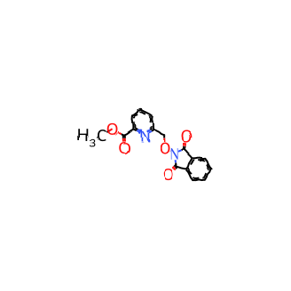 COC(=O)c1cccc(CON2C(=O)c3ccccc3C2=O)n1